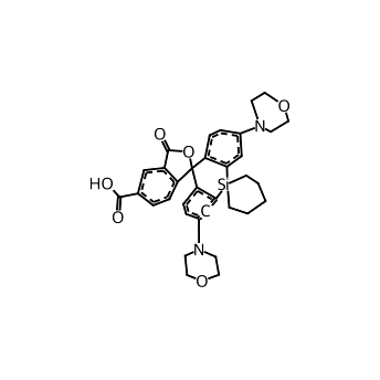 O=C(O)c1ccc2c(c1)C(=O)OC21c2ccc(N3CCOCC3)cc2[Si]2(CCCCC2)c2cc(N3CCOCC3)ccc21